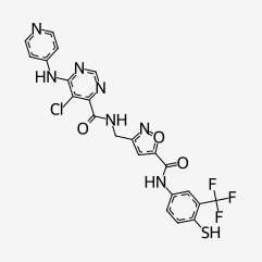 O=C(Nc1ccc(S)c(C(F)(F)F)c1)c1cc(CNC(=O)c2ncnc(Nc3ccncc3)c2Cl)no1